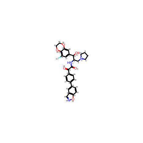 O=C(NC(CN1CCCC1)C(O)c1cc(F)c2c(c1)OCCO2)C(=O)c1ccc(-c2ccc3oncc3c2)cc1